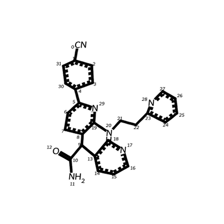 N#Cc1ccc(-c2ccc(C(C(N)=O)c3cccnc3)c(NCCc3ccccn3)n2)cc1